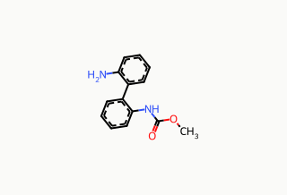 COC(=O)Nc1ccccc1-c1ccccc1N